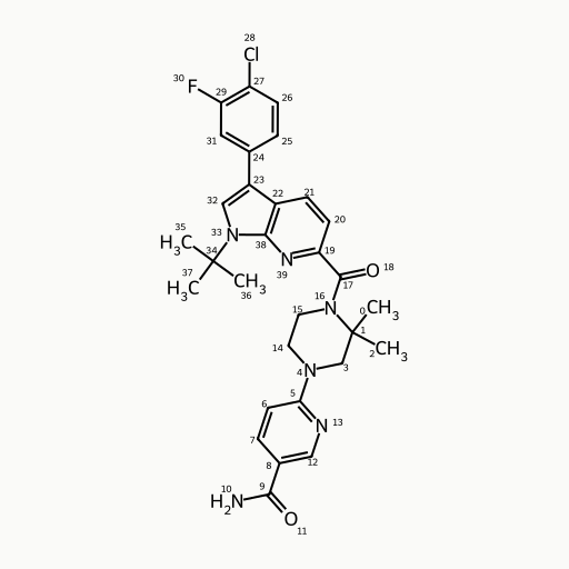 CC1(C)CN(c2ccc(C(N)=O)cn2)CCN1C(=O)c1ccc2c(-c3ccc(Cl)c(F)c3)cn(C(C)(C)C)c2n1